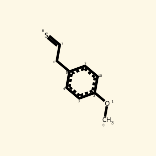 COc1ccc(C[C]=S)cc1